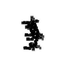 CCCCOC(=O)[C@@H]1[C@@](C)([C@H](C)C(C)C)CC[C@]2(C)[C@H]3CC[C@H]4C(C)(C)[C@@H](OCCC(C)(CC)NC(=O)OC(C)(C)C)[C@H](OC)C[C@]4(COC)C3=CC[C@@]12C